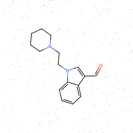 O=Cc1cn(CCN2CCCCC2)c2ccccc12